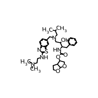 CC(C)CN(Cc1ccc2nc(NCCN(C)C)sc2c1)CC(O)C(Cc1ccccc1)NC(=O)OC1COC2OCCC12